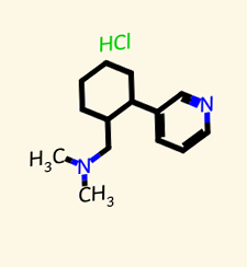 CN(C)CC1CCCCC1c1cccnc1.Cl